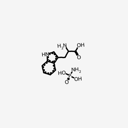 NC(Cc1c[nH]c2ccccc12)C(=O)O.NP(=O)(O)O